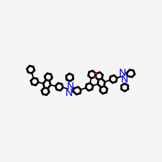 c1ccc(-c2cccc(-c3c4ccccc4c(-c4ccc(-c5nc6ccc(-c7ccc(-c8c9ccccc9c(-c9ccc(-c%10nc%11ccccc%11n%10-c%10ccccc%10)cc9)c9ccccc89)c(-c8ccccc8)c7)cc6n5-c5ccccc5)cc4)c4ccccc34)c2)cc1